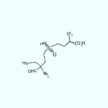 N=S(=O)(CCC(C(=O)O)C(F)(F)F)CCC(N)(C=O)CO